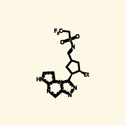 CC[C@@H]1CC(/C=N/S(=O)(=O)CC(F)(F)F)C[C@@H]1c1nnc2cnc3[nH]ccc3n12